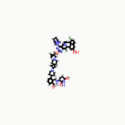 C#Cc1c(F)ccc2cc(O)cc(-c3ncc4c(N5CC6CCC(C5)N6)nc(OCC5(CN6CCC7(CC6)CC(N6CCC(c8cccc(C=O)c8CN(C)C8CCC(=O)NC8=O)CC6)C7)CC5)nc4c3F)c12